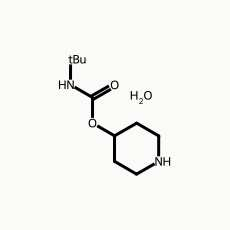 CC(C)(C)NC(=O)OC1CCNCC1.O